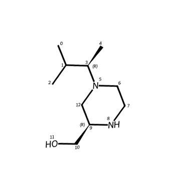 CC(C)[C@@H](C)N1CCN[C@@H](CO)C1